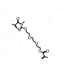 C=C(C)C(=O)OCCOCCOCCOc1ncc(C)c(=O)n1C